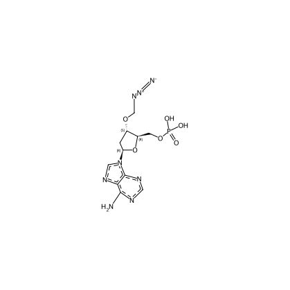 [N-]=[N+]=NCO[C@H]1C[C@H](n2cnc3c(N)ncnc32)O[C@@H]1COP(=O)(O)O